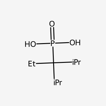 CCC(C(C)C)(C(C)C)P(=O)(O)O